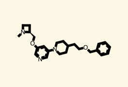 CN1CC[C@H]1COc1cncc(N2CCC(CCOCc3ccccc3)CC2)c1